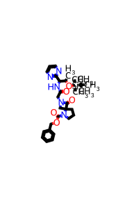 CC(O[Si](C)(C)C(C)(C)C)C(NC(=O)CN1CC2(CCCN2C(=O)OCc2ccccc2)C1=O)c1ncccn1